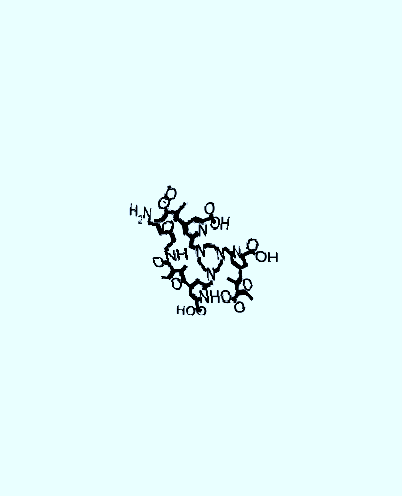 COOc1c(C)oc(-c2cc(CN3CCN(Cc4cc(-c5oc(C)c(C(=O)O)c5C)cc(C(=O)O)n4)CCN(Cc4cc(-c5oc(C)c(C(=O)NCCCCCCN)c5C)cc(C(=O)O)n4)CC3)nc(C(=O)O)c2)c1C